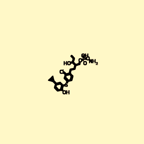 CCC(O)C(CCc1ccc(Sc2cc(C3CC3)ccc2O)cc1Cl)COP(=O)(O)ON